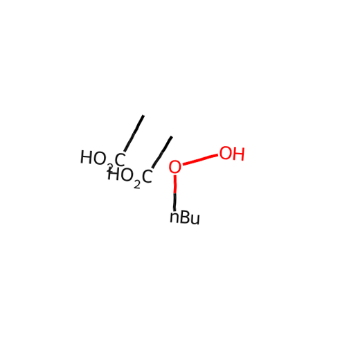 CC(=O)O.CC(=O)O.CCCCOO